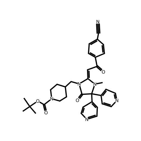 CN1C(=CC(=O)c2ccc(C#N)cc2)N(CC2CCN(C(=O)OC(C)(C)C)CC2)C(=O)C1(c1ccncc1)c1ccncc1